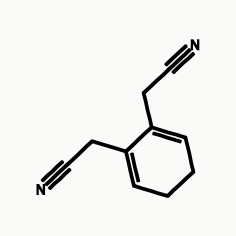 N#CCC1=CCCC=C1CC#N